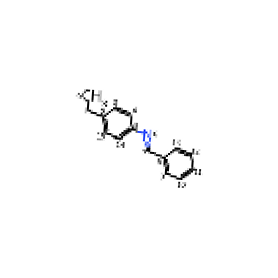 CCc1ccc(N=Cc2ccccc2)cc1